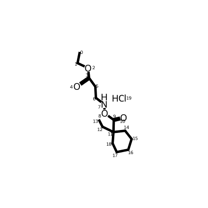 CCOC(=O)CCNOC(=O)C1(CC)CCCCC1.Cl